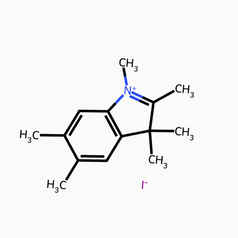 CC1=[N+](C)c2cc(C)c(C)cc2C1(C)C.[I-]